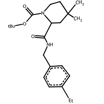 CCc1ccc(CNC(=O)C2CC(C)(C)CCN2C(=O)OC(C)(C)C)cc1